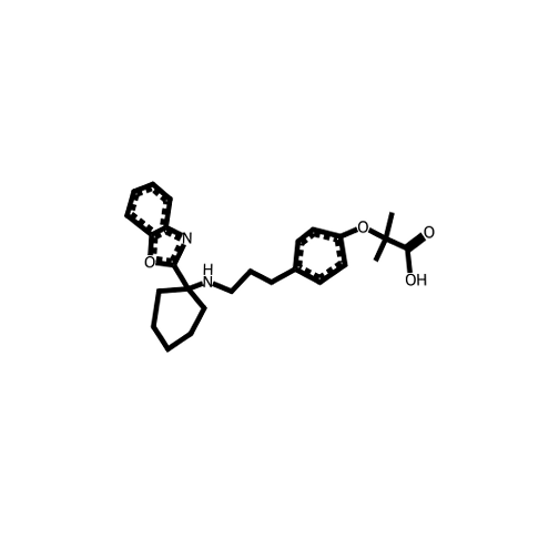 CC(C)(Oc1ccc(CCCNC2(c3nc4ccccc4o3)CCCCC2)cc1)C(=O)O